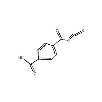 O=C(O)c1ccc(C(=O)N=C=S)cc1